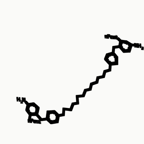 CCCCCc1cc(N)ccc1Cc1ccc(CCCCCCCCCCCCCCCc2ccc(Cc3ccc(N)cc3CCCCC)cc2)cc1